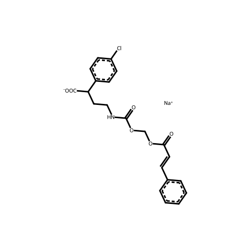 O=C(C=Cc1ccccc1)OCOC(=O)NCCC(C(=O)[O-])c1ccc(Cl)cc1.[Na+]